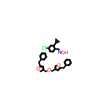 ON=Cc1ccc(Cl)cc1C1CC1.c1ccc(Cc2cc(COCc3coc(Cc4ccccc4)c3)co2)cc1